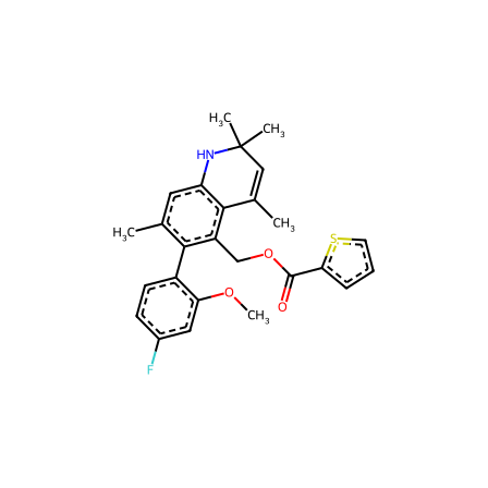 COc1cc(F)ccc1-c1c(C)cc2c(c1COC(=O)c1cccs1)C(C)=CC(C)(C)N2